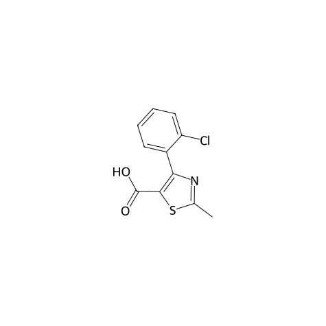 Cc1nc(-c2ccccc2Cl)c(C(=O)O)s1